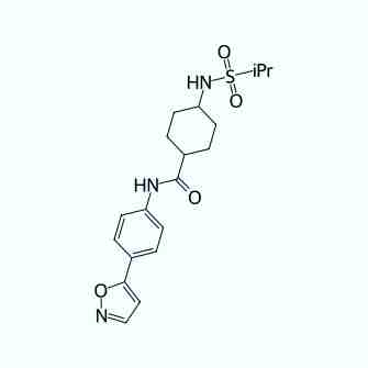 CC(C)S(=O)(=O)NC1CCC(C(=O)Nc2ccc(-c3ccno3)cc2)CC1